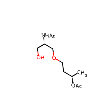 CC(=O)N[C@@H](CO)COCC[C@@H](C)OC(C)=O